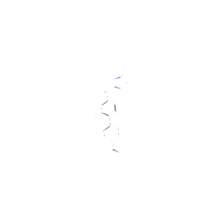 Nc1nc(Nc2cc(Cl)c(C3=CCN(C(=O)O)CC3)c(Cl)c2)n[nH]1